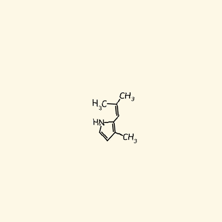 CC(C)=Cc1[nH]ccc1C